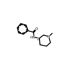 CN1CCC[C@@H](NC(=O)c2ccccc2)C1